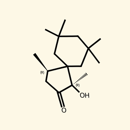 C[C@@H]1CC(=O)[C@](C)(O)C12CC(C)(C)CC(C)(C)C2